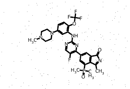 CC1=NC(=O)c2cc(-c3nc(Nc4cc(N5CCN(C)CC5)ccc4OC(F)(F)F)ncc3F)cc(P(C)(C)=O)c21